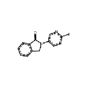 O=C1c2ccccc2CN1c1ccc(I)nc1